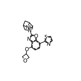 c1csc(-c2ccc(OC3COC3)c3nc(N4CC5CC(C4)N5)oc23)n1